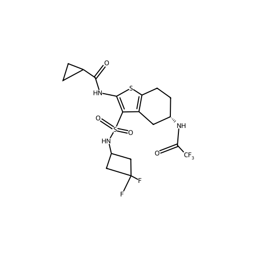 O=C(Nc1sc2c(c1S(=O)(=O)NC1CC(F)(F)C1)C[C@@H](NC(=O)C(F)(F)F)CC2)C1CC1